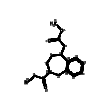 COC(=O)CC1CCN(C(=O)CBr)Cc2ccccc21